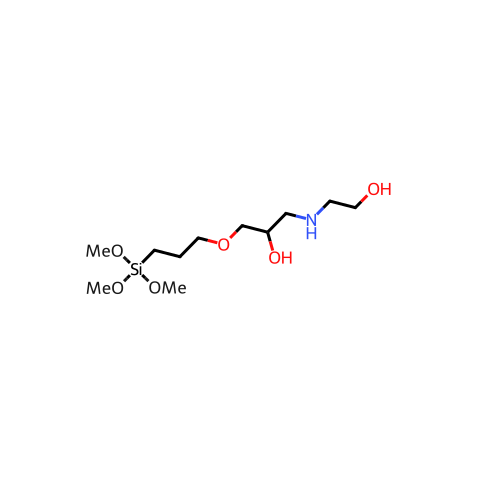 CO[Si](CCCOCC(O)CNCCO)(OC)OC